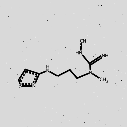 CN(CCCNc1ccsn1)C(=N)NC#N